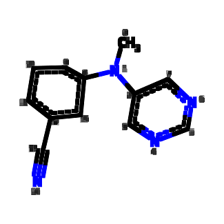 CN(c1cncnc1)c1cccc(C#N)c1